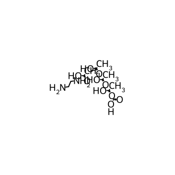 CC(=O)O.CC(=O)O.CC(=O)O.CC(=O)O.NCCN.O=CO